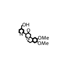 COc1cc2c(cc1OC)C1CC(=O)C(c3cc(CO)ccn3)CN1CC2